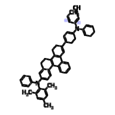 C#C/C=C(\C=C/C)N(C1=CCCC=C1)C1=CC=C(C2=Cc3c(c4c(c5ccccc35)-c3ccc(N(c5ccccc5)c5c(C)cc(C)cc5C)cc3CC4)CC2)CC1